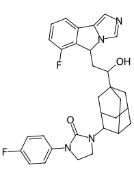 O=C1N(c2ccc(F)cc2)CCN1C1C2CC3CC1CC(C(O)CC1c4c(F)cccc4-c4cncn41)(C3)C2